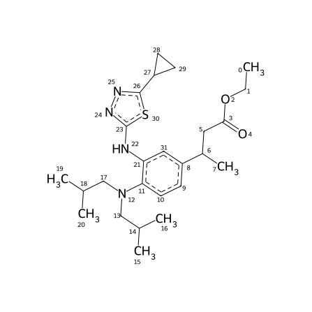 CCOC(=O)CC(C)c1ccc(N(CC(C)C)CC(C)C)c(Nc2nnc(C3CC3)s2)c1